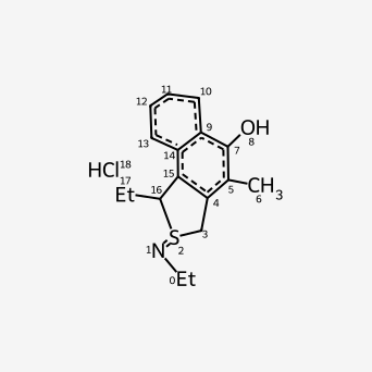 CCN=S1Cc2c(C)c(O)c3ccccc3c2C1CC.Cl